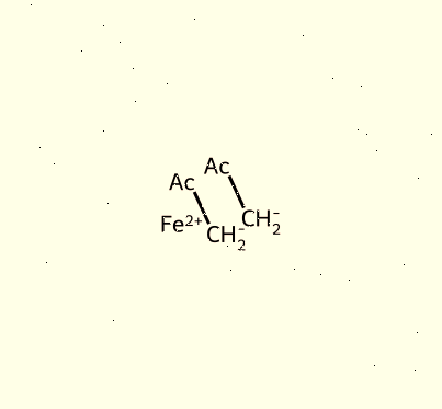 [CH2-]C(C)=O.[CH2-]C(C)=O.[Fe+2]